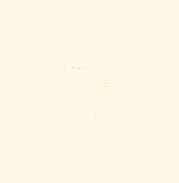 CCO[P](=O)OCC